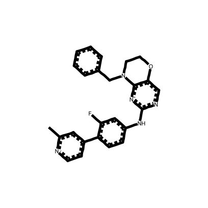 Cc1cc(-c2ccc(Nc3ncc4c(n3)N(Cc3ccccc3)CCO4)cc2F)ccn1